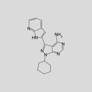 Nc1ncnc2c1c(-c1cc3cccnc3[nH]1)nn2C1CCCCC1